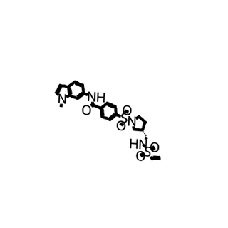 C=CS(=O)(=O)NC[C@H]1CCN(S(=O)(=O)c2ccc(C(=O)Nc3ccc4ccn(C)c4c3)cc2)C1